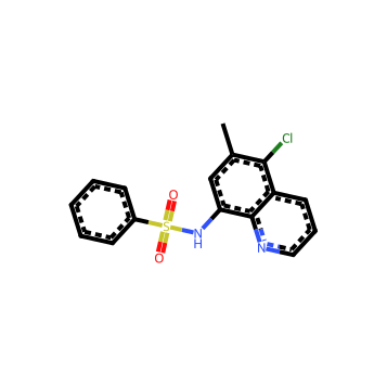 Cc1cc(NS(=O)(=O)c2ccccc2)c2ncccc2c1Cl